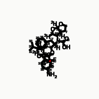 [2H]C1O[C@@]2([2H])OCC[C@@]2([2H])[C@H]1N(C(=O)O)[C@@]([2H])(Cc1ccccc1)[C@@H](CN(C([2H])([2H])C(C)C)S(=O)(=O)c1ccc(N)cc1)OC(=O)C(F)(F)F